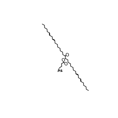 CCCCCC=CCC=CCCCCCCCC(=O)C(CCCCCCCC=CCC=CCCCCC)OC(=O)CCC[As](C)C